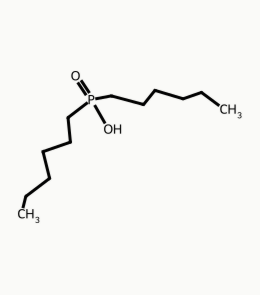 CCCCCCP(=O)(O)CCCCCC